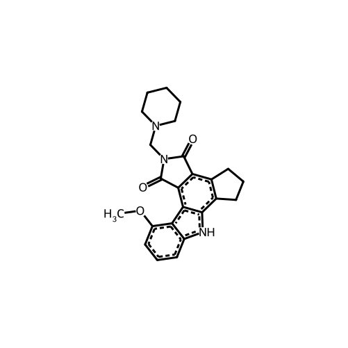 COc1cccc2[nH]c3c4c(c5c(c3c12)C(=O)N(CN1CCCCC1)C5=O)CCC4